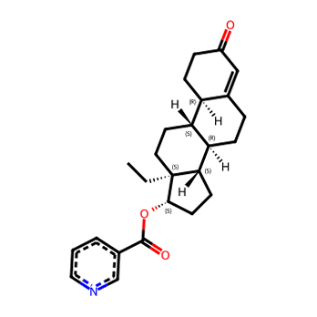 CC[C@]12CC[C@H]3[C@@H](CCC4=CC(=O)CC[C@@H]43)[C@@H]1CC[C@@H]2OC(=O)c1cccnc1